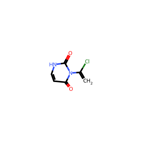 C=C(Cl)n1c(=O)cc[nH]c1=O